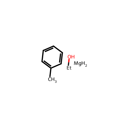 CCO.Cc1ccccc1.[MgH2]